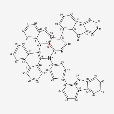 c1ccc2c(-c3c(N(c4ccc(-c5cccc6c5oc5ccccc56)cc4)c4ccc(-c5cccc6c5sc5ccccc56)cc4)c4ccccc4c4ccccc34)cccc2c1